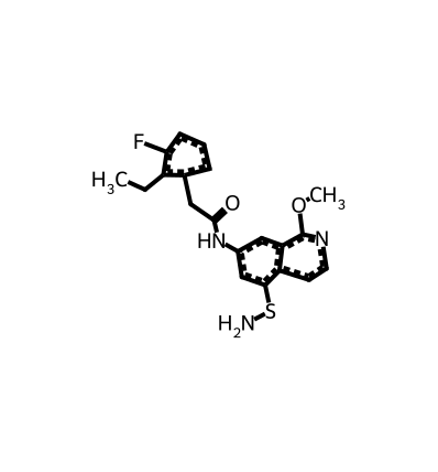 CCc1c(F)cccc1CC(=O)Nc1cc(SN)c2ccnc(OC)c2c1